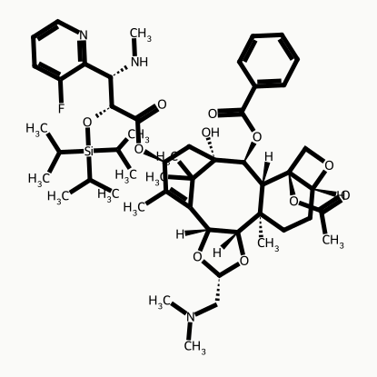 CN[C@@H](c1ncccc1F)[C@@H](O[Si](C(C)C)(C(C)C)C(C)C)C(=O)O[C@H]1C[C@@]2(O)[C@@H](OC(=O)c3ccccc3)[C@H]3[C@@](C)(CC[C@H]4OC[C@]43OC(C)=O)[C@@H]3O[C@H](CN(C)C)O[C@@H]3C(=C1C)C2(C)C